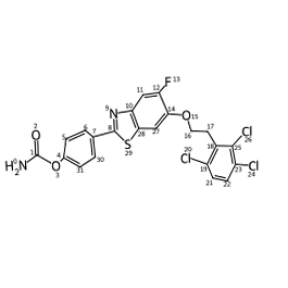 NC(=O)Oc1ccc(-c2nc3cc(F)c(OCCc4c(Cl)ccc(Cl)c4Cl)cc3s2)cc1